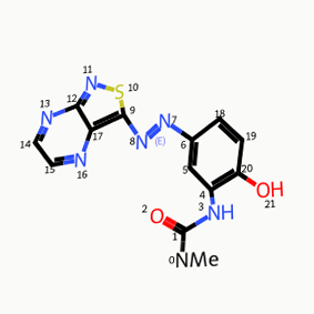 CNC(=O)Nc1cc(/N=N/c2snc3nccnc23)ccc1O